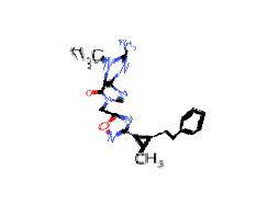 CC1[C@H](CCc2ccccc2)[C@H]1c1noc(Cn2cnc3nc(N)n(C)c3c2=O)n1